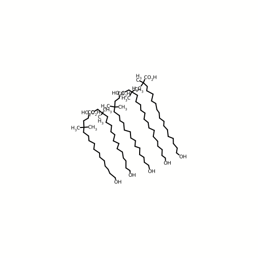 CC(C)(CCCCCCCCCCCCCCCCO)C(=O)O.CC(C)(CCCCCCCCCCCCCCCO)CC(=O)O.CC(C)(CCCCCCCCCCCCCCO)CCC(=O)O.CC(C)(CCCCCCCCCCCCCO)CC(=O)O.CC(C)(CCCCCCCCCCCCO)CCC(=O)O